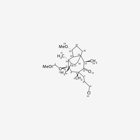 COCO[C@@H]1C[C@@](C)(CCCCl)C(=O)[C@H](C)C23CC[C@@H](C)[C@]1(C)C2[C@H](OC)CC3